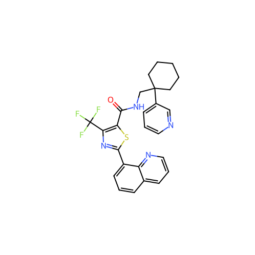 O=C(NCC1(c2cccnc2)CCCCC1)c1sc(-c2cccc3cccnc23)nc1C(F)(F)F